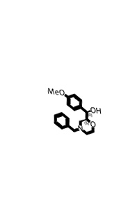 COc1ccc([C@@H](O)[C@@H]2CN(Cc3ccccc3)CCO2)cc1